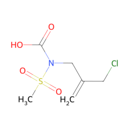 C=C(CCl)CN(C(=O)O)S(C)(=O)=O